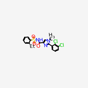 CCc1ccccc1S(=O)(=O)NC(=O)c1cn(C)c(-c2cccc(Cl)c2Cl)n1